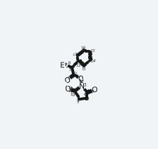 CCC(C(=O)ON1C(=O)CCC1=O)c1ccccc1